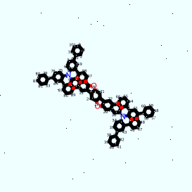 c1ccc(-c2ccc(N(c3ccc4cc5c(cc4c3)oc3cc4c(cc35)oc3cc5cc(N(c6ccc(-c7ccccc7)cc6-c6ccccc6)c6ccc(-c7ccccc7)cc6-c6ccccc6)ccc5cc34)c3ccc(-c4ccccc4)cc3-c3ccccc3)c(-c3ccccc3)c2)cc1